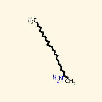 CCCCCCCCCCCCCCCCCCCCCCC(N)CC